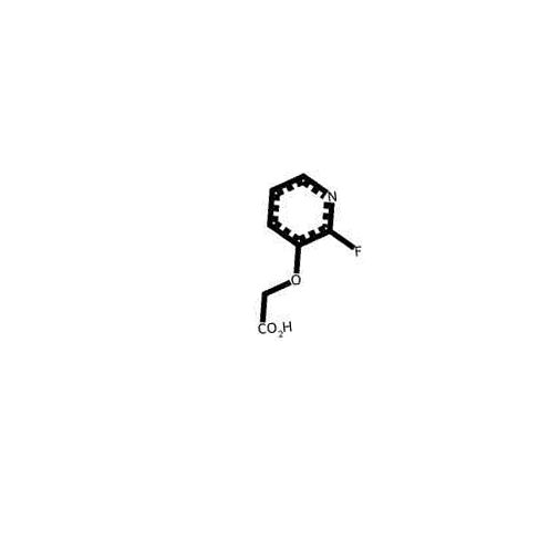 O=C(O)COc1cccnc1F